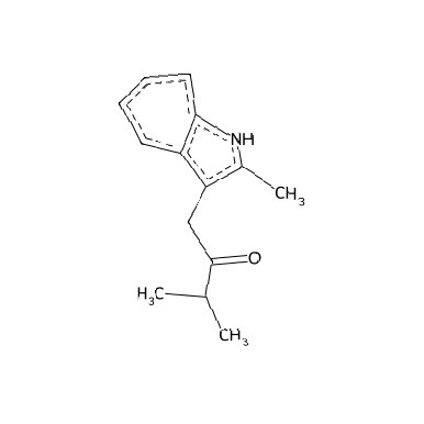 Cc1[nH]c2ccccc2c1CC(=O)C(C)C